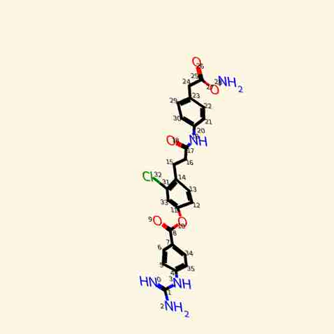 N=C(N)Nc1ccc(C(=O)Oc2ccc(CCC(=O)Nc3ccc(CC(=O)ON)cc3)c(Cl)c2)cc1